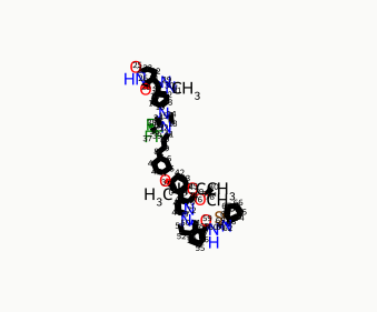 Cc1c(OC2CCC(CCCCN3CCN(c4ccc5c(C6CCC(=O)NC6=O)nn(C)c5c4)C[C@H]3C(F)(F)F)CC2)cccc1-c1ccc(N2CCc3cccc(C(=O)Nc4nc5ccccc5s4)c3C2)nc1C(=O)OC(C)(C)C